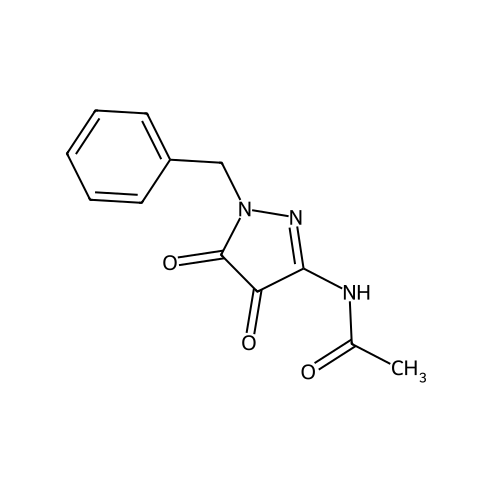 CC(=O)NC1=NN(Cc2ccccc2)C(=O)C1=O